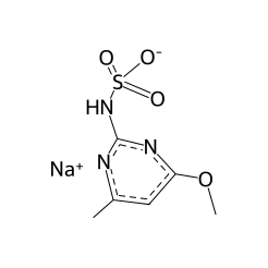 COc1cc(C)nc(NS(=O)(=O)[O-])n1.[Na+]